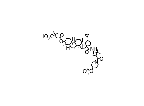 CC(C)(CC(=O)O[C@H]1CC[C@]2(C)[C@H]3CC[C@@H]4[C@H]5[C@H](C6CC6)CC[C@]5(C(=O)N[C@@H]5C[C@H](C(=O)N6CCC(OP(C)(C)=O)CC6)C5(C)C)CC[C@@]4(C)[C@]3(C)CC[C@H]2C1(C)C)C(=O)O